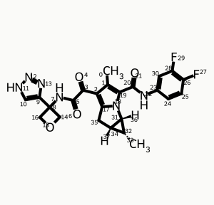 Cc1c(C(=O)C(=O)NC2(c3c[nH]nn3)COC2)c2n(c1C(=O)Nc1ccc(F)c(F)c1)[C@@H]1[C@H](C)[C@@H]1C2